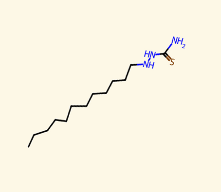 CCCCCCCCCCCCNNC(N)=S